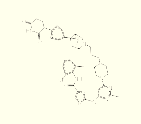 Cc1nc(Nc2ncc(C(=O)Nc3c(C)cccc3Cl)s2)cc(N2CCN(CCCN3CC4CCC3CN4c3ccc(C4CCC(=O)NC4=O)cc3)CC2)n1